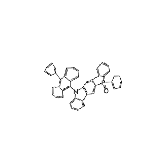 O=P1(c2ccccc2)c2ccccc2-c2cc3c(cc21)c1ccccc1n3-c1c2ccccc2c(-c2ccccc2)c2ccccc12